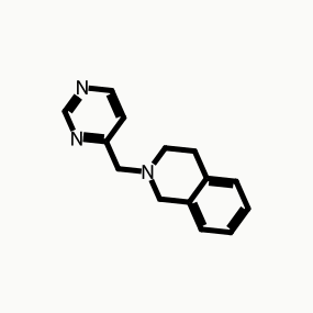 c1ccc2c(c1)CCN(Cc1ccncn1)C2